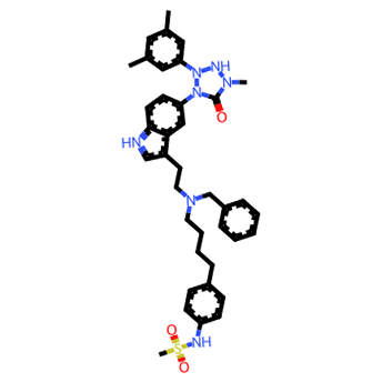 Cc1cc(C)cc(N2NN(C)C(=O)N2c2ccc3[nH]cc(CCN(CCCCc4ccc(NS(C)(=O)=O)cc4)Cc4ccccc4)c3c2)c1